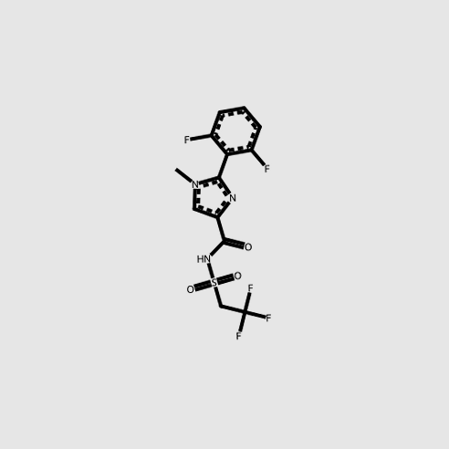 Cn1cc(C(=O)NS(=O)(=O)CC(F)(F)F)nc1-c1c(F)cccc1F